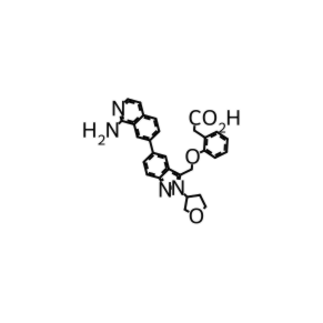 Nc1nccc2ccc(-c3ccc4nn(C5CCOC5)c(COc5ccccc5CC(=O)O)c4c3)cc12